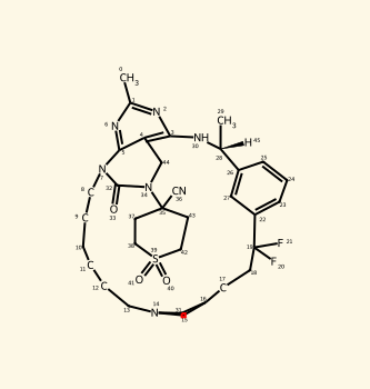 Cc1nc2c3c(n1)N(CCCCCCN1CC(CCC(F)(F)c4cccc(c4)[C@@H](C)N2)C1)C(=O)N(C1(C#N)CCS(=O)(=O)CC1)C3